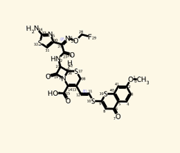 COc1ccc2c(=O)cc(S/C=C/C3=C(C(=O)O)N4C(=O)C(NC(=O)/C(=N\OCF)c5csc(N)n5)[C@H]4SC3)sc2c1